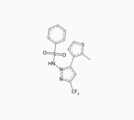 Cc1sccc1-c1cc(C(F)(F)F)nn1NS(=O)(=O)c1ccccc1